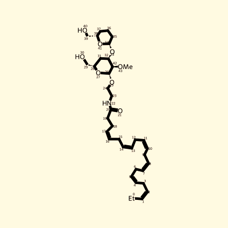 CC/C=C\C/C=C\C/C=C\C/C=C\C/C=C\C/C=C\CCC(=O)NCCO[C@@H]1O[C@H](CO)C[C@H](O[C@H]2CCC[C@@H](CO)O2)[C@H]1OC